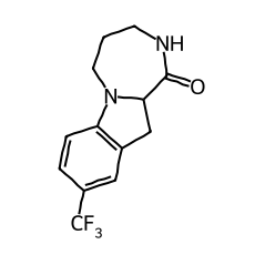 O=C1NCCCN2c3ccc(C(F)(F)F)cc3CC12